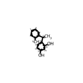 Cc1ccccc1C(C)c1ccc(O)cc1O